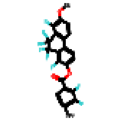 CCCc1ccc(C(=O)Oc2ccc3c(c2F)C(F)(F)C(F)(F)c2c-3ccc(OCC)c2F)c(F)c1F